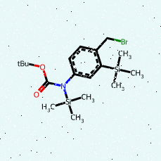 CC(C)(C)OC(=O)N(c1ccc(CBr)c([Si](C)(C)C)c1)[Si](C)(C)C